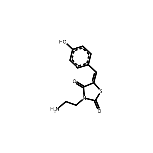 NCCN1C(=O)S/C(=C/c2ccc(O)cc2)C1=O